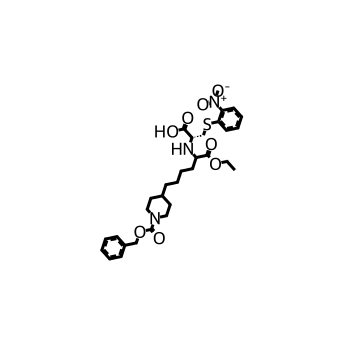 CCOC(=O)C(CCCCC1CCN(C(=O)OCc2ccccc2)CC1)N[C@@H](CSc1ccccc1[N+](=O)[O-])C(=O)O